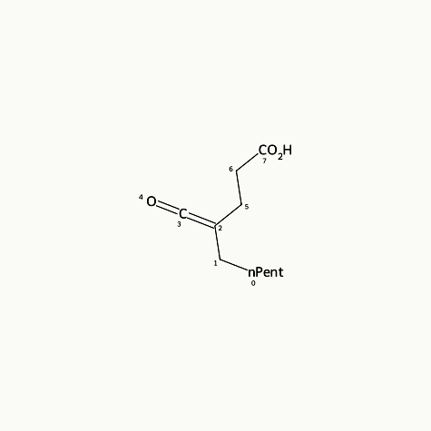 CCCCCCC(=C=O)CCC(=O)O